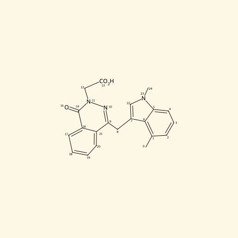 Cc1cccc2c1c(Cc1nn(CC(=O)O)c(=O)c3ccccc13)cn2C